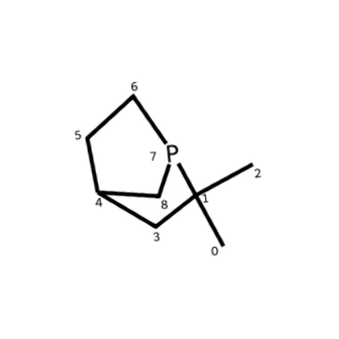 CC1(C)CC2CCP1C2